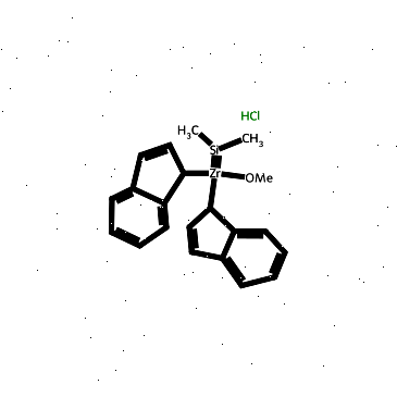 C[O][Zr]([CH]1C=Cc2ccccc21)([CH]1C=Cc2ccccc21)=[Si](C)C.Cl